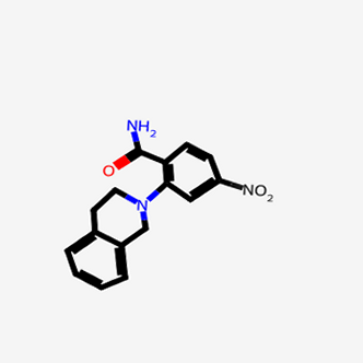 NC(=O)c1ccc([N+](=O)[O-])cc1N1CCc2ccccc2C1